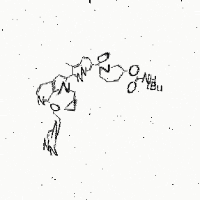 Cc1c(-c2cc3ccnc(OCCn4cnnc4)c3n2CC2CC2)nn2cc(C(=O)N3CCC[C@@H](OC(=O)NC(C)(C)C)C3)ccc12